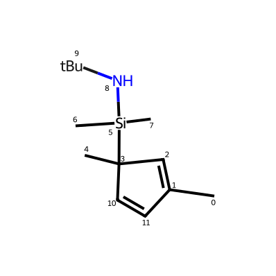 CC1=CC(C)([Si](C)(C)NC(C)(C)C)C=C1